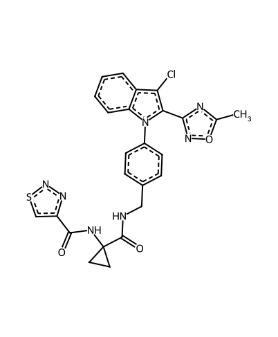 Cc1nc(-c2c(Cl)c3ccccc3n2-c2ccc(CNC(=O)C3(NC(=O)c4csnn4)CC3)cc2)no1